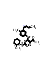 C=C/C=C\c1cc(Nc2nc(N[C@@H]3CCCC[C@@H]3N)nnc2C(N)=O)ccc1C